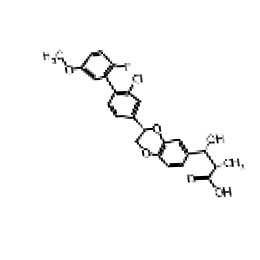 COc1ccc(F)c(-c2ccc([C@@H]3COc4ccc([C@H](O)[C@H](C)C(=O)O)cc4O3)cc2Cl)c1